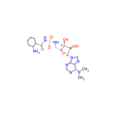 CN(C)c1ncnc2c1ncn2[C@@H]1O[C@H](CNS(=O)(=O)NC(=O)c2ccccc2N)[C@@H](O)[C@H]1O